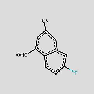 N#Cc1cc(C=O)c2ccc(F)cc2c1